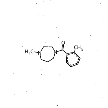 Cc1ccccc1C(=O)N1CCCN(C)CC1